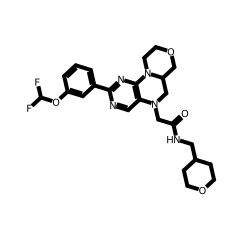 O=C(CN1CC2COCCN2c2nc(-c3cccc(OC(F)F)c3)ncc21)NCC1CCOCC1